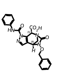 O=C(O)[C@@H]1c2c(cnn2C(=O)Nc2ccccc2)[C@@H]2CN1C(=O)N2OCc1ccccc1